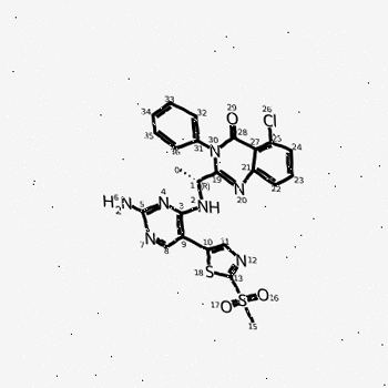 C[C@@H](Nc1nc(N)ncc1-c1cnc(S(C)(=O)=O)s1)c1nc2cccc(Cl)c2c(=O)n1-c1ccccc1